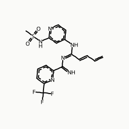 C=C/C=C/C(=N\C(=N)c1cccc(C(F)(F)F)n1)Nc1ccnc(NS(C)(=O)=O)c1